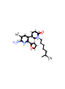 CC(C#N)CCCCCn1cc(-c2cc(C#N)c(N)nc2-c2ccco2)ccc1=O